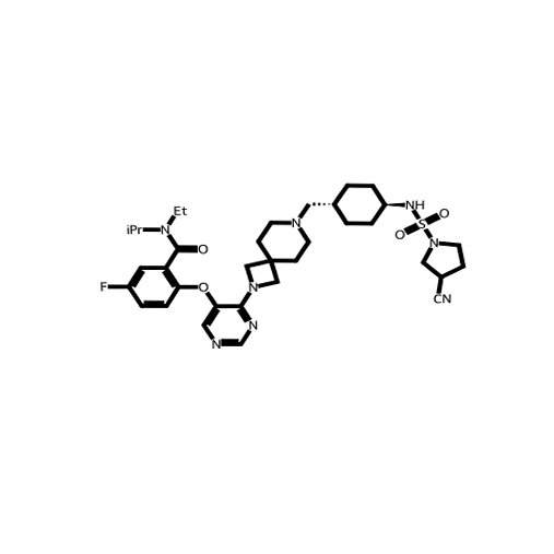 CCN(C(=O)c1cc(F)ccc1Oc1cncnc1N1CC2(CCN(C[C@H]3CC[C@H](NS(=O)(=O)N4CCC(C#N)C4)CC3)CC2)C1)C(C)C